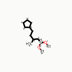 CCO[SiH](CC(C)CCC1CCCC1)OCC